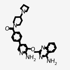 Nc1ncc(-c2ccc(C(=O)N3CCC(N4CCCC4)CC3)cc2)cc1OCc1nc(N)c2ccccc2n1